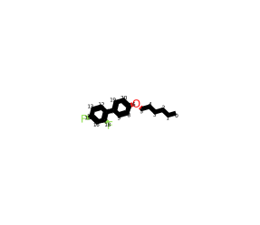 CCCCCCOc1ccc(-c2ccc(F)cc2F)cc1